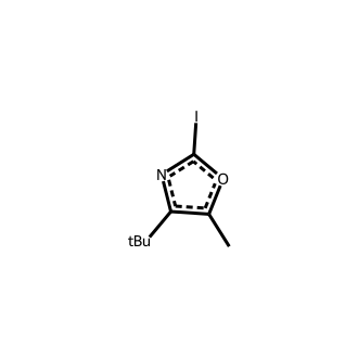 Cc1oc(I)nc1C(C)(C)C